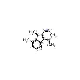 C=NC1=C(/C=N\C)C(=C)c2c(C)ccnc21